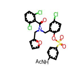 CC(=O)Nc1ccc(S(=O)(=O)Oc2ccc(Cl)cc2CN(Cc2ccco2)C(=O)c2c(Cl)cccc2Cl)cc1